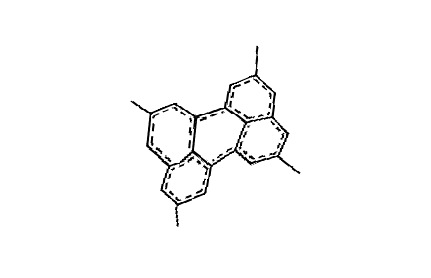 Cc1cc2cc(C)cc3c4cc(C)cc5cc(C)cc(c(c1)c23)c54